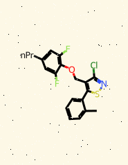 CCCc1cc(F)c(OCc2c(Cl)nsc2-c2ccccc2C)c(F)c1